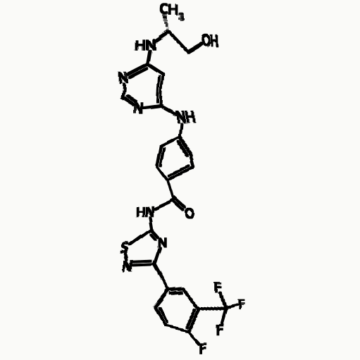 C[C@H](CO)Nc1cc(Nc2ccc(C(=O)Nc3nc(-c4ccc(F)c(C(F)(F)F)c4)ns3)cc2)ncn1